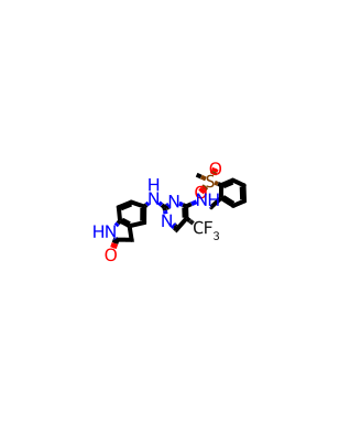 CS(=O)(=O)c1ccccc1CNc1nc(Nc2ccc3c(c2)CC(=O)N3)ncc1C(F)(F)F